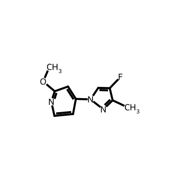 COc1cc(-n2cc(F)c(C)n2)ccn1